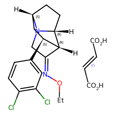 CCON=C1CN2[C@H]3CC[C@@H]2[C@H]1[C@@H](c1ccc(Cl)c(Cl)c1)C3.O=C(O)/C=C/C(=O)O